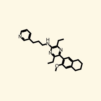 CCc1nc(-c2cc3c(cc2OC)CCCC3)c(CC)nc1NCCCc1cccnc1